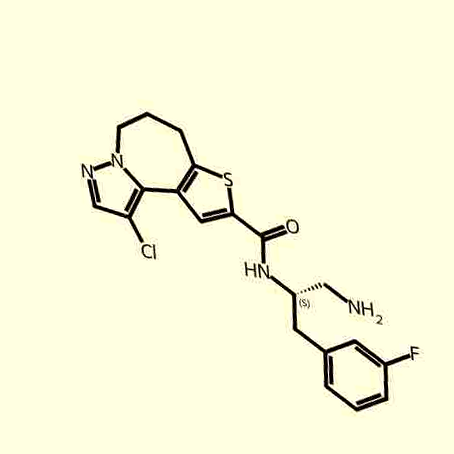 NC[C@H](Cc1cccc(F)c1)NC(=O)c1cc2c(s1)CCCn1ncc(Cl)c1-2